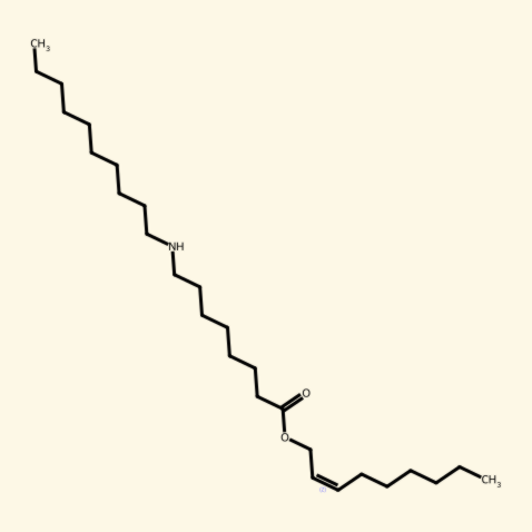 CCCCCC/C=C\COC(=O)CCCCCCCNCCCCCCCCCC